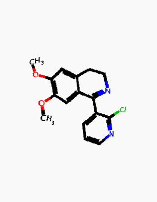 COc1cc2c(cc1OC)C(c1cccnc1Cl)=NCC2